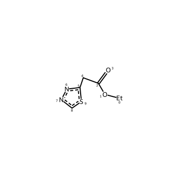 CCOC(=O)Cc1nncs1